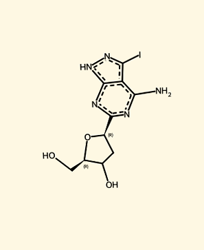 Nc1nc([C@H]2CC(O)[C@@H](CO)O2)nc2[nH]nc(I)c12